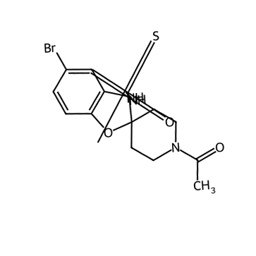 CC(=O)N1CCC2(CC1)Oc1ccc(Br)cc1C21NC(=S)NC1=O